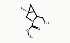 CC(C)(C)OC(=O)N1C[C@H]2CC2C1CO